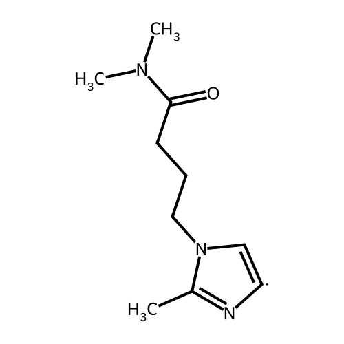 Cc1n[c]cn1CCCC(=O)N(C)C